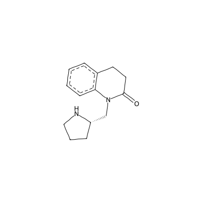 O=C1CCc2ccccc2N1C[C@@H]1CCCN1